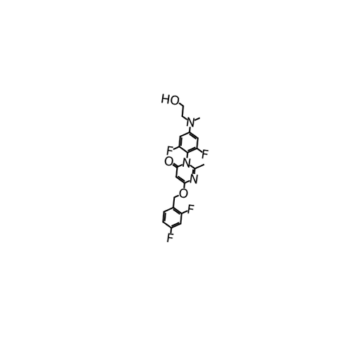 Cc1nc(OCc2ccc(F)cc2F)cc(=O)n1-c1c(F)cc(N(C)CCO)cc1F